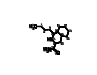 CCCCC1NC(C(N)=O)CC2CCCCC21